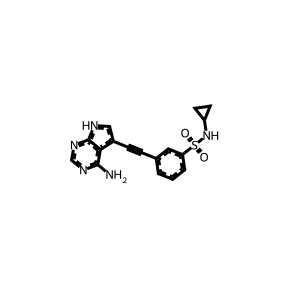 Nc1ncnc2[nH]cc(C#Cc3cccc(S(=O)(=O)NC4CC4)c3)c12